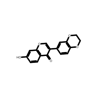 O=c1c(-c2ccc3c(c2)OCCO3)coc2cc(O)ccc12